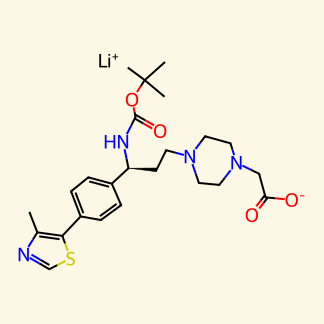 Cc1ncsc1-c1ccc([C@H](CCN2CCN(CC(=O)[O-])CC2)NC(=O)OC(C)(C)C)cc1.[Li+]